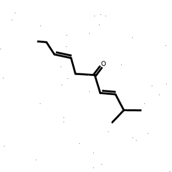 CCC=CCC(=O)C=CC(C)C